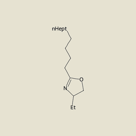 CCCCCCCCCCCC1=NC(CC)CO1